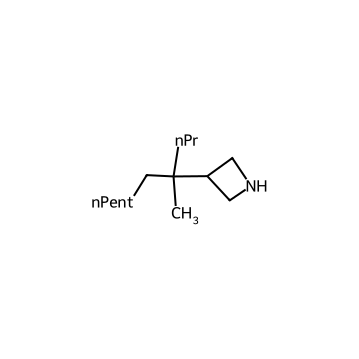 CCCCCCC(C)(CCC)C1CNC1